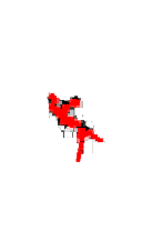 CCCCCCCCNC(=O)N[C@@H](CNC(=O)c1ccc(C(=O)N2C[C@@H](C(=O)N[C@H]3C[C@@H]3c3ccccc3)[C@H](C(=O)N[C@H]3C[C@@H]3c3ccccc3)C2)cc1)C(=O)NCCCCCC